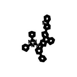 c1ccc(-c2ccc3c(c2)c2cc4c5ccccc5c5cc(-c6ccc7c(c6)sc6ccccc67)ccc5c4cc2n3-c2nc(-c3ccccc3)nc(-c3ccccc3)n2)cc1